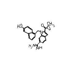 COC(=O)c1cc2ccc(C(=N)N)cc2n1Cc1cccc2cc(O)ccc12